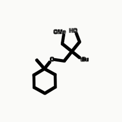 COCC(CO)(COC1(C)CCCCC1)C(C)(C)C